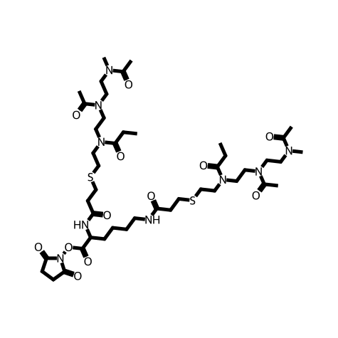 CCC(=O)N(CCSCCC(=O)NCCCCC(NC(=O)CCSCCN(CCN(CCN(C)C(C)=O)C(C)=O)C(=O)CC)C(=O)ON1C(=O)CCC1=O)CCN(CCN(C)C(C)=O)C(C)=O